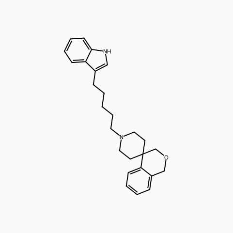 c1ccc2c(c1)COCC21CCN(CCCCCc2c[nH]c3ccccc23)CC1